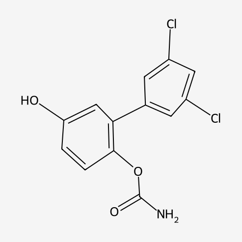 NC(=O)Oc1ccc(O)cc1-c1cc(Cl)cc(Cl)c1